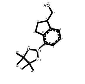 CC1(C)OB(c2cccc3c2CCC3CO)OC1(C)C